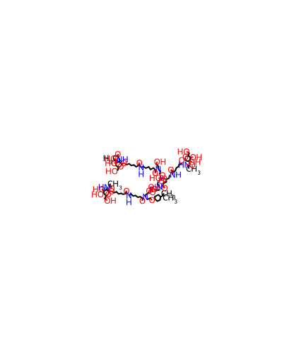 CC(=O)NC1C(OCCCCCC(=O)NCCCCCC(=O)N(CCOC2CCC(C(C)C)CC2)CCOP(=O)(O)OCCN(CCOP(=O)(O)OCCN(CCO)C(=O)CCCCCNC(=O)CCCCCOC2OC(CO)CC(O)(CO)C2NC(C)=O)C(=O)CCCCCNC(=O)CCCCCOC2OC(CO)C(O)C(O)C2NC(C)=O)OC(CO)C(O)C1O